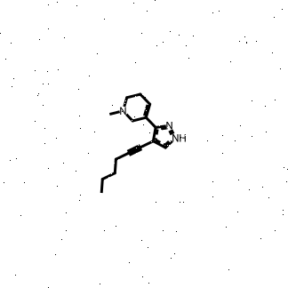 CCCCC#Cc1c[nH]nc1C1=CCCN(C)C1